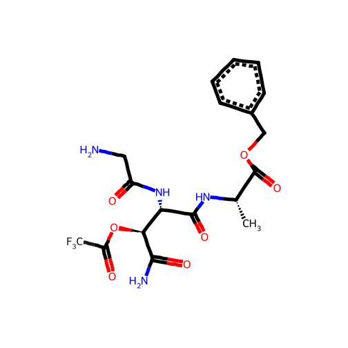 C[C@H](NC(=O)[C@@H](NC(=O)CN)[C@H](OC(=O)C(F)(F)F)C(N)=O)C(=O)OCc1ccccc1